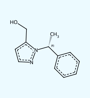 C[C@H](c1ccccc1)n1nccc1CO